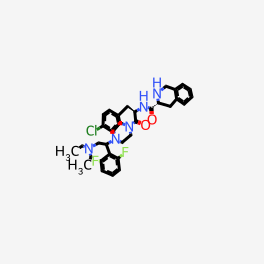 CCN(CC)CC(c1c(F)cccc1F)N1CCN(C(=O)[C@@H](Cc2ccc(Cl)cc2)NC(=O)[C@H]2Cc3ccccc3CN2)CC1